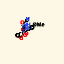 COc1ccc(C[C@H](NC(=O)[C@H](C)NC(=O)C2CN(C)C2)C(=O)N[C@@H](Cc2ccccc2)C(=O)[C@H]2CO2)cc1